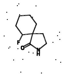 O=C1NCCC12CCCCC2F